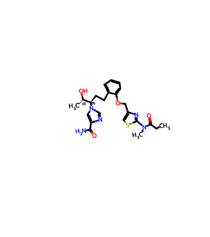 CCC(=O)N(C)c1nc(COc2ccccc2CC[C@H]([C@H](C)O)n2cnc(C(N)=O)c2)cs1